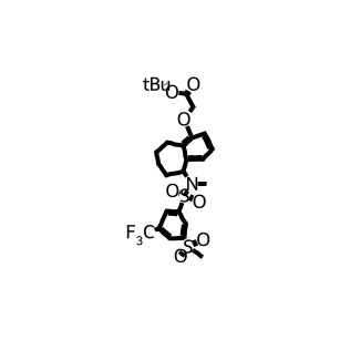 CN(C1CCCCc2c(OCC(=O)OC(C)(C)C)cccc21)S(=O)(=O)c1cc(C(F)(F)F)cc(S(C)(=O)=O)c1